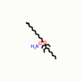 C=CCCCCCCCCC(=O)OC(CC)(CC)C(CC)CCCCCC.N